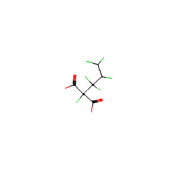 O=C(O)C(Cl)(C(=O)O)C(Cl)(Cl)C(Cl)C(Cl)Cl